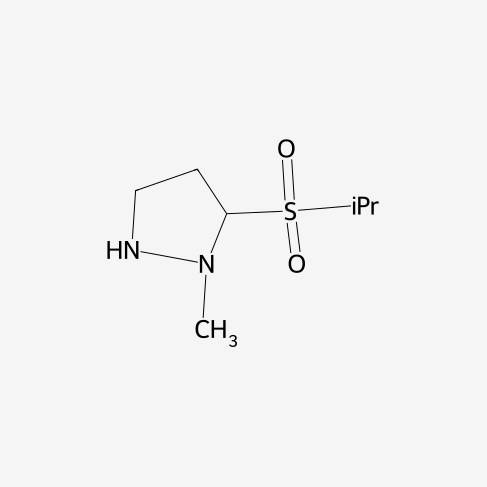 CC(C)S(=O)(=O)C1CCNN1C